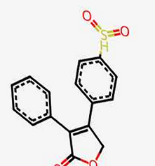 O=C1OCC(c2ccc([SH](=O)=O)cc2)=C1c1ccccc1